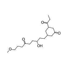 CCC(=O)C1CC(=O)CC(CCC(O)CCC(=O)CCCOC)C1